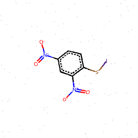 O=[N+]([O-])c1ccc(SI)c([N+](=O)[O-])c1